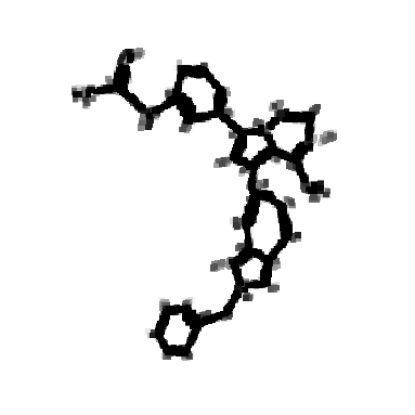 CC(=O)Nc1cccc(-c2cc(-c3ccc4cn(Cc5ccccc5)nc4c3)c3c(N)ncnn23)c1